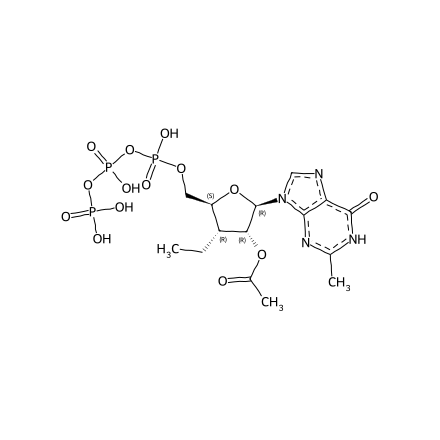 CC[C@H]1[C@@H](OC(C)=O)[C@H](n2cnc3c(=O)[nH]c(C)nc32)O[C@@H]1COP(=O)(O)OP(=O)(O)OP(=O)(O)O